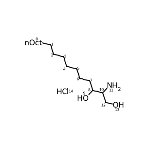 CCCCCCCCCCCCCCCC(O)C(N)CO.Cl